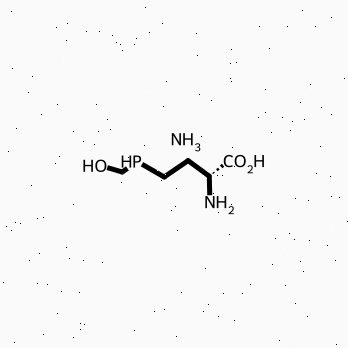 N.N[C@H](CCPCO)C(=O)O